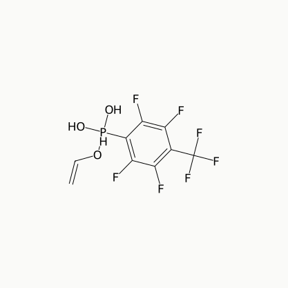 C=CO[PH](O)(O)c1c(F)c(F)c(C(F)(F)F)c(F)c1F